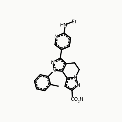 CCNc1ccc(-c2nn(-c3ccccc3C)c3c2CCn2nc(C(=O)O)cc2-3)cn1